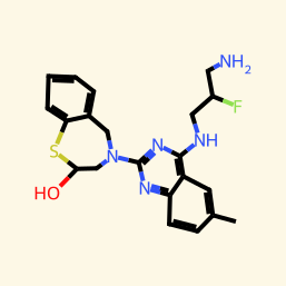 Cc1ccc2nc(N3Cc4ccccc4SC(O)C3)nc(NCC(F)CN)c2c1